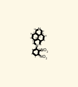 O=[N+]([O-])c1cccc(-[n+]2cc3ccc4cncc5ccc(c2)c3c45)c1[N+](=O)[O-]